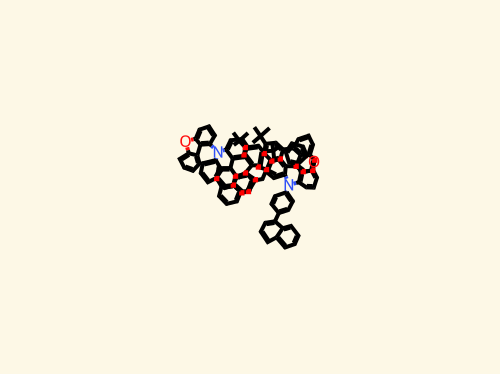 CC(C)(C)c1cc(-c2cccc3cccc(-c4ccccc4N(c4cccc(-c5cccc6cc(CC(C)(C)c7cc(-c8cccc9cccc(-c%10ccccc%10N(c%10ccc(-c%11cccc%12ccccc%11%12)cc%10)c%10cccc%11oc%12ccccc%12c%10%11)c89)cc(C(C)(C)C)c7)ccc56)c4)c4cccc5oc6ccccc6c45)c23)cc(C(C)(C)C)c1